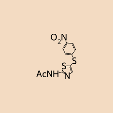 CC(=O)Nc1ncc(Sc2ccc([N+](=O)[O-])cc2)s1